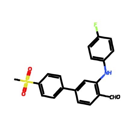 CS(=O)(=O)c1ccc(-c2ccc(C=O)c(Nc3ccc(F)cc3)c2)cc1